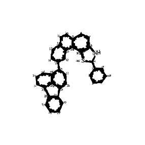 c1ccc(C2Nc3ccc4ccc5ccc(-c6ccc7c8c(cccc68)-c6ccccc6-7)cc5c4c3S2)cc1